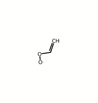 [CH]=CO[O]